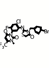 Cn1c(C(F)(F)F)cc(=O)n(-c2cc(N=C3SCC(=O)N3Cc3ccc(Br)cc3)c(Cl)cc2F)c1=O